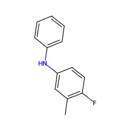 Cc1cc(Nc2ccccc2)ccc1F